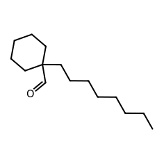 CCCCCCCCC1(C=O)CCCCC1